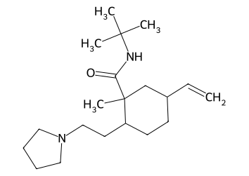 C=CC1CCC(CCN2CCCC2)C(C)(C(=O)NC(C)(C)C)C1